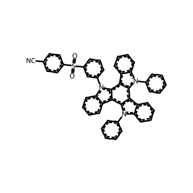 N#Cc1ccc(S(=O)(=O)c2cccc(-n3c4ccccc4c4c5c(c6ccccc6n5-c5ccccc5)c5c(c6ccccc6n5-c5ccccc5)c43)c2)cc1